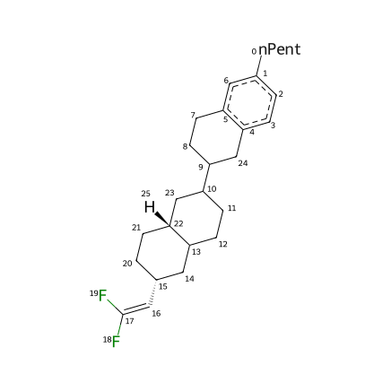 CCCCCc1ccc2c(c1)CCC(C1CCC3C[C@H](C=C(F)F)CC[C@@H]3C1)C2